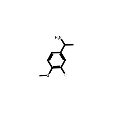 CSc1ccc(C(C)N)cc1Cl